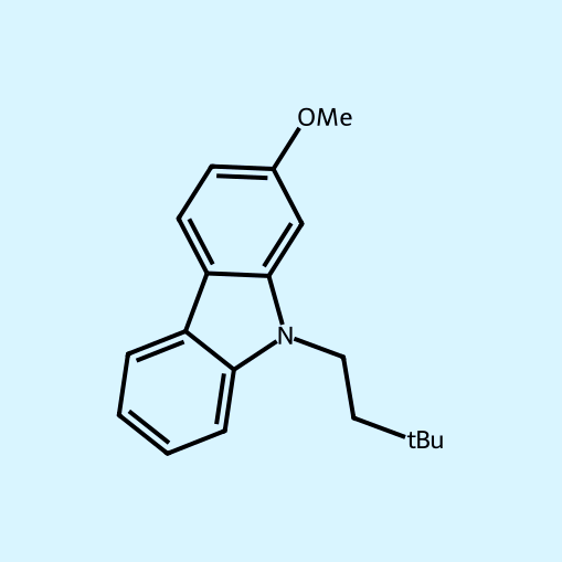 COc1ccc2c3ccccc3n(CCC(C)(C)C)c2c1